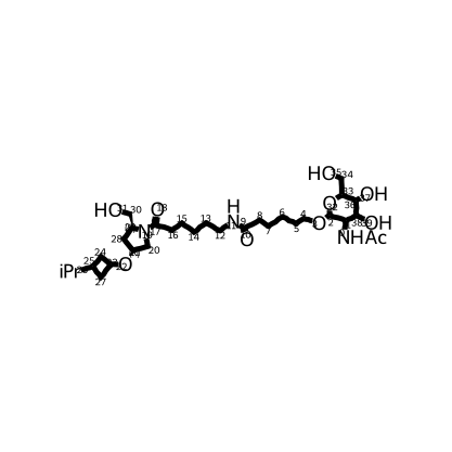 CC(=O)NC1C(OCCCCCC(=O)NCCCCCC(=O)N2C[C@H](OC3CC(C(C)C)C3)C[C@H]2CO)OC(CO)C(O)C1O